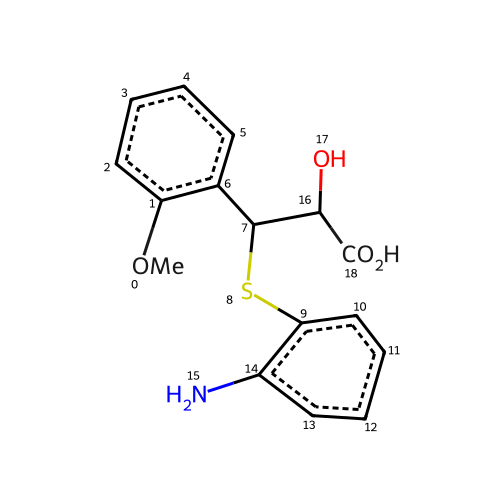 COc1ccccc1C(Sc1ccccc1N)C(O)C(=O)O